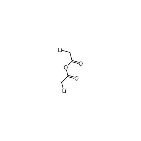 [Li][CH2]C(=O)OC(=O)[CH2][Li]